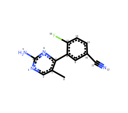 Cc1cnc(N)nc1-c1cc(C#N)ccc1F